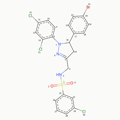 O=S(=O)(NCC1=NN(c2ccc(Cl)cc2Cl)C(c2ccc(Br)cc2)C1)c1cccc(Cl)c1